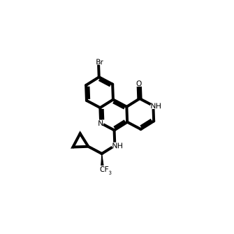 O=c1[nH]ccc2c(N[C@H](C3CC3)C(F)(F)F)nc3ccc(Br)cc3c12